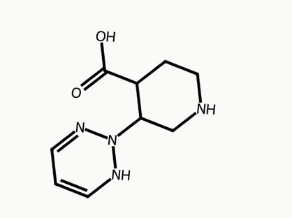 O=C(O)C1CCNCC1N1N=CC=CN1